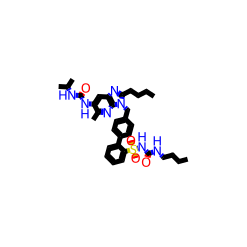 CCCCNC(=O)NS(=O)(=O)c1ccccc1-c1ccc(Cn2c(CCCC)nc3cc(NC(=O)NC(C)C)c(C)nc32)cc1